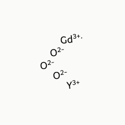 [Gd+3].[O-2].[O-2].[O-2].[Y+3]